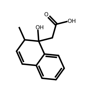 CC1C=Cc2ccccc2C1(O)CC(=O)O